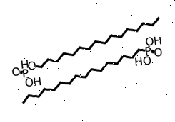 CCCCCCCCCCCCCCCCO[PH](=O)O.CCCCCCCCCCCCCCCCP(=O)(O)O